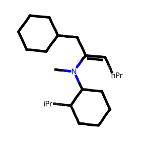 CCC/C=C(/CC1CCCCC1)N(C)C1CCCCC1C(C)C